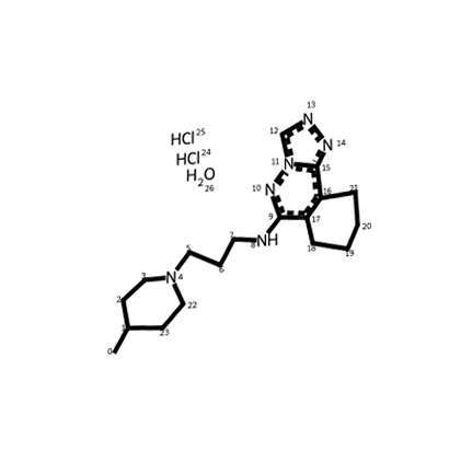 CC1CCN(CCCNc2nn3cnnc3c3c2CCCC3)CC1.Cl.Cl.O